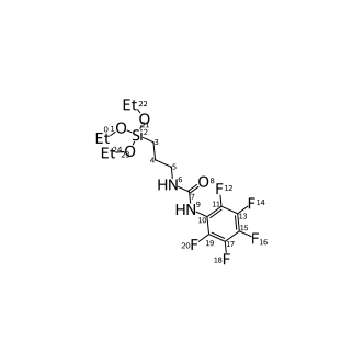 CCO[Si](CCCNC(=O)Nc1c(F)c(F)c(F)c(F)c1F)(OCC)OCC